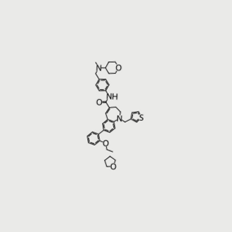 C1CCOC1.CCOc1ccccc1-c1ccc2c(c1)C=C(C(=O)Nc1ccc(CN(C)C3CCOCC3)cc1)CCN2Cc1ccsc1